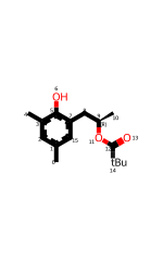 Cc1cc(C)c(O)c(C[C@@H](C)OC(=O)C(C)(C)C)c1